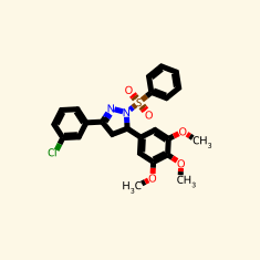 COc1cc(C2CC(c3cccc(Cl)c3)=NN2S(=O)(=O)c2ccccc2)cc(OC)c1OC